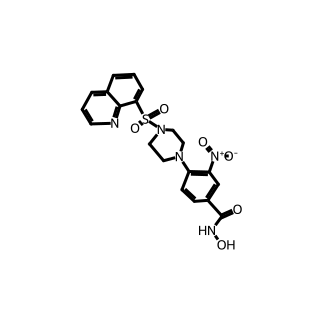 O=C(NO)c1ccc(N2CCN(S(=O)(=O)c3cccc4cccnc34)CC2)c([N+](=O)[O-])c1